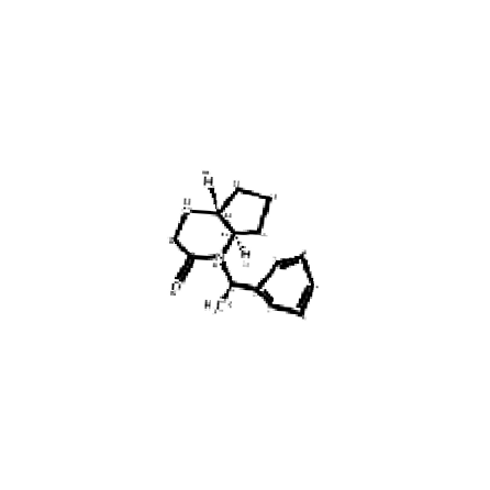 C[C@H](c1ccccc1)N1C(=O)CO[C@@H]2CCC[C@H]21